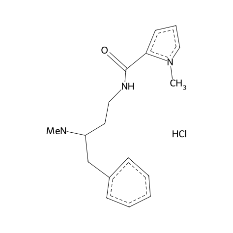 CNC(CCNC(=O)c1cccn1C)Cc1ccccc1.Cl